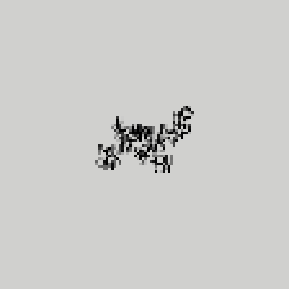 CC(C)(C)[Si](C)(C)O[C@@H]1[C@H](OP(=S)(OCCC#N)OC[C@H]2O[C@@H](n3cc(F)c4c(=O)[nH]cnc43)[C@H](O[PH](=O)O)[C@@H]2O[Si](C)(C)C(C)(C)C)[C@@H](CO)O[C@H]1n1cnc2c(NC(=O)c3ccccc3)ncnc21